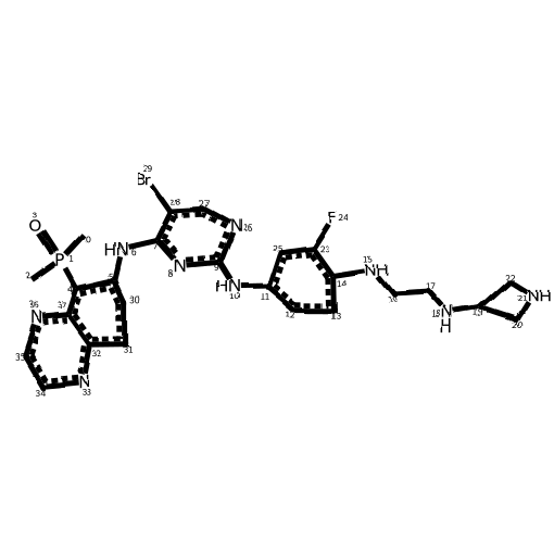 CP(C)(=O)c1c(Nc2nc(Nc3ccc(NCCNC4CNC4)c(F)c3)ncc2Br)ccc2nccnc12